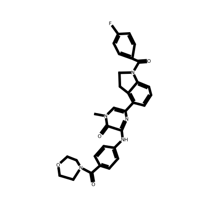 Cn1cc(-c2cccc3c2CCN3C(=O)c2ccc(F)cc2)nc(Nc2ccc(C(=O)N3CCOCC3)cc2)c1=O